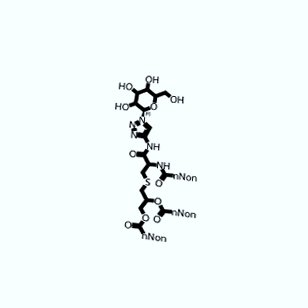 CCCCCCCCCC(=O)NC(CSCC(COC(=O)CCCCCCCCC)OC(=O)CCCCCCCCC)C(=O)Nc1cn([C@@H]2OC(CO)C(O)C(O)C2O)nn1